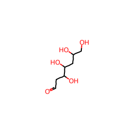 O=CCC(O)C(O)CC(O)CO